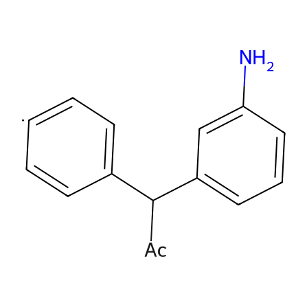 CC(=O)C(c1cc[c]cc1)c1cccc(N)c1